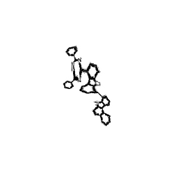 c1ccc(-c2nc(-c3ccccc3)nc(-c3cccc4oc5c(-c6cccc7c6sc6ccc8ccccc8c67)cccc5c34)n2)cc1